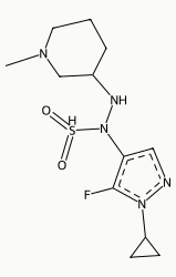 CN1CCCC(NN(c2cnn(C3CC3)c2F)[SH](=O)=O)C1